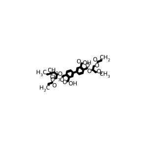 C=CC(=O)OCC(COC)OC(=O)c1ccc(-c2ccc(C(=O)OC(COC(=O)C=C)CC(C)(C)CC)c(C(=O)O)c2)cc1C(=O)O